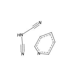 N#CNC#N.c1ccncc1